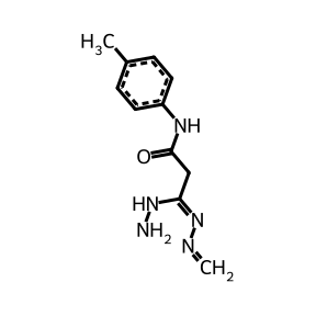 C=N/N=C(/CC(=O)Nc1ccc(C)cc1)NN